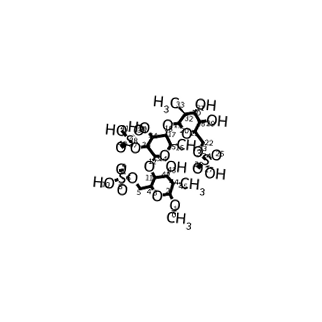 COC1OC(COS(=O)(=O)O)C(O[C@@H]2O[C@@H](C)[C@@H](OC3OC(COS(=O)(=O)O)C(O)[C@H](O)[C@@H]3C)C(O)C2OS(=O)(=O)O)[C@H](O)[C@@H]1C